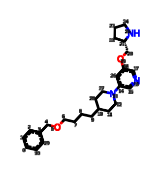 c1ccc(COCCCCC2CCN(c3cncc(OC[C@@H]4CCCN4)c3)CC2)cc1